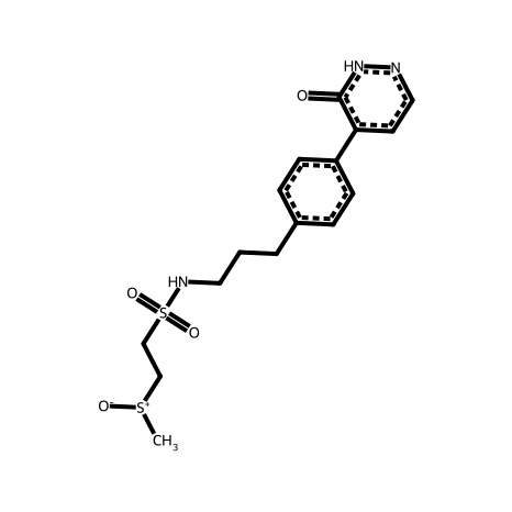 C[S+]([O-])CCS(=O)(=O)NCCCc1ccc(-c2ccn[nH]c2=O)cc1